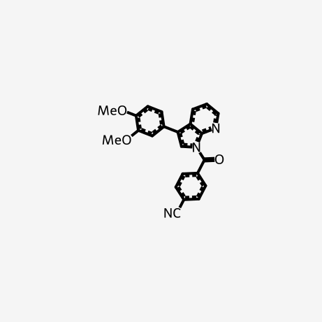 COc1ccc(-c2cn(C(=O)c3ccc(C#N)cc3)c3ncccc23)cc1OC